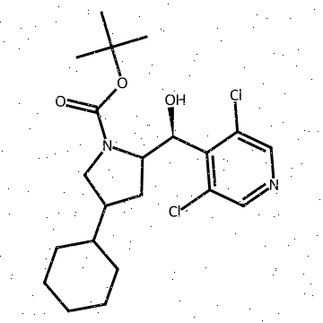 CC(C)(C)OC(=O)N1CC(C2CCCCC2)CC1[C@@H](O)c1c(Cl)cncc1Cl